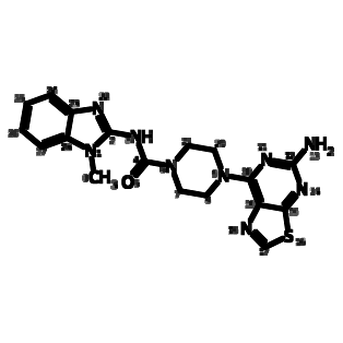 Cn1c(NC(=O)N2CCN(c3nc(N)nc4scnc34)CC2)nc2ccccc21